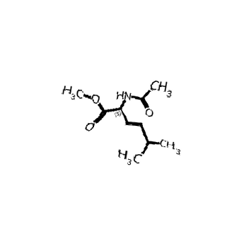 COC(=O)[C@H](CCC(C)C)NC(C)=O